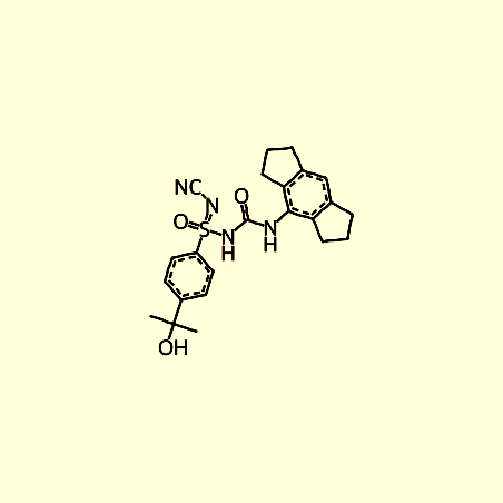 CC(C)(O)c1ccc(S(=O)(=NC#N)NC(=O)Nc2c3c(cc4c2CCC4)CCC3)cc1